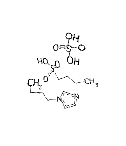 CCCCS(=O)(=O)O.CCCCn1ccnc1.O=S(=O)(O)O